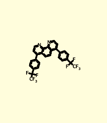 FC(F)(F)C(F)(F)c1ccc(-c2ccnc3c2ccc2c(-c4ccc(C(F)(F)C(F)(F)F)cc4)ccnc23)cc1